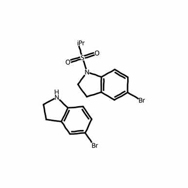 Brc1ccc2c(c1)CCN2.CC(C)S(=O)(=O)N1CCc2cc(Br)ccc21